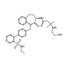 CCNS(=O)(=O)c1ccccc1-c1ccc(CN2C(=O)[C@H](NC(=O)CC(C)(C)NC[C@@H](C)O)CCc3ccccc32)cc1